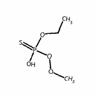 CCOP(O)(=S)OOC